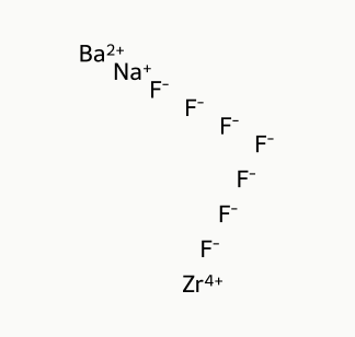 [Ba+2].[F-].[F-].[F-].[F-].[F-].[F-].[F-].[Na+].[Zr+4]